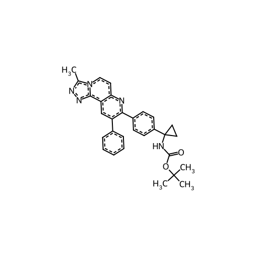 Cc1nnc2c3cc(-c4ccccc4)c(-c4ccc(C5(NC(=O)OC(C)(C)C)CC5)cc4)nc3ccn12